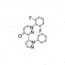 O=c1ccn(-c2c(F)cccc2F)nc1-c1ccnn1-c1ccccc1